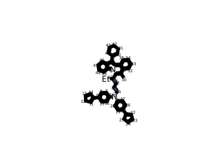 CC/C(=C\C=C\N(c1ccc(C2=CCC=C2)cc1)c1ccc(C2=CC=CC2)cc1)c1c(C)c2ccccc2c2c(C3=CCCC=C3)c3ccccc3n12